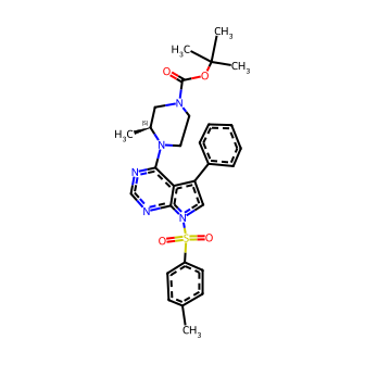 Cc1ccc(S(=O)(=O)n2cc(-c3ccccc3)c3c(N4CCN(C(=O)OC(C)(C)C)C[C@@H]4C)ncnc32)cc1